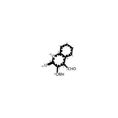 COc1c(C=O)c2ccccc2oc1=O